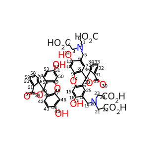 O=C(O)CN(CC(=O)O)Cc1cc2c(cc1O)Oc1cc(O)c(CN(CC(=O)O)CC(=O)O)cc1C21OC(=O)c2ccccc21.O=C1OC2(c3ccc(O)cc3Oc3cc(O)ccc32)c2ccccc21